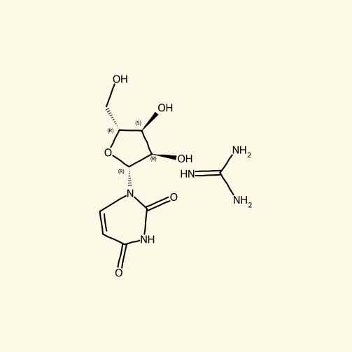 N=C(N)N.O=c1ccn([C@@H]2O[C@H](CO)[C@@H](O)[C@H]2O)c(=O)[nH]1